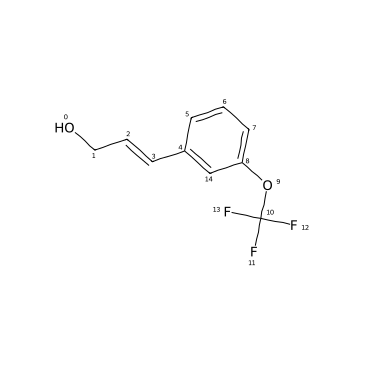 OCC=Cc1cccc(OC(F)(F)F)c1